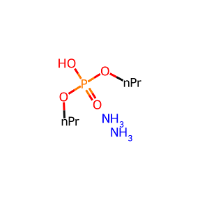 CCCOP(=O)(O)OCCC.N.N